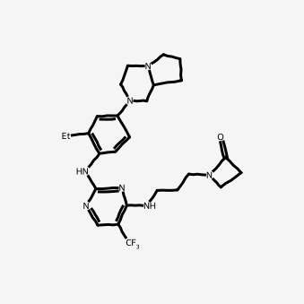 CCc1cc(N2CCN3CCCC3C2)ccc1Nc1ncc(C(F)(F)F)c(NCCCN2CCC2=O)n1